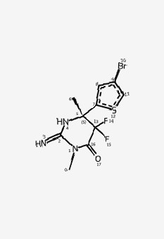 CN1C(=N)N[C@](C)(c2cc(Br)cs2)C(F)(F)C1=O